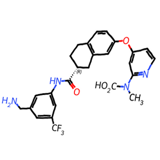 CN(C(=O)O)c1cc(Oc2ccc3c(c2)C[C@H](C(=O)Nc2cc(CN)cc(C(F)(F)F)c2)CC3)ccn1